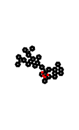 c1ccc(-c2ccc3cccc(-c4c5cccc(-c6ccc7c(c6)c6ccccc6n7-c6ccccc6)c5cc5c(-c6ccc7c(c6)c6ccccc6n7-c6ccc(-c7cc(-c8ccccc8)cc8c(-c9c%10cccc(-c%11ccc%12c%13ccccc%13n(-c%13ccccc%13)c%12c%11)c%10cc%10c(-c%11ccc%12c%13ccccc%13n(-c%13ccccc%13)c%12c%11)cccc9%10)cccc78)cc6)cccc45)c3c2)cc1